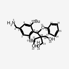 CC(C)(C)c1cc(CN)cc(C(C)(C)C)c1C(Oc1ccccc1)C(CO)(CO)CO